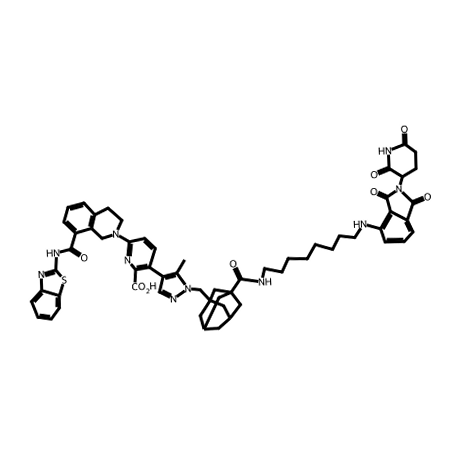 Cc1c(-c2ccc(N3CCc4cccc(C(=O)Nc5nc6ccccc6s5)c4C3)nc2C(=O)O)cnn1CC12CC3CC(C1)CC(C(=O)NCCCCCCCCNc1cccc4c1C(=O)N(C1CCC(=O)NC1=O)C4=O)(C3)C2